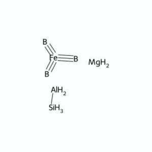 [AlH2][SiH3].[B]#[Fe](#[B])#[B].[MgH2]